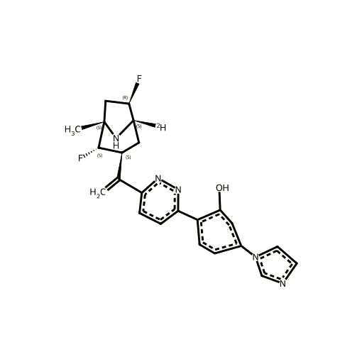 [2H][C@]12C[C@@H](C(=C)c3ccc(-c4ccc(-n5ccnc5)cc4O)nn3)[C@H](F)[C@](C)(C[C@H]1F)N2